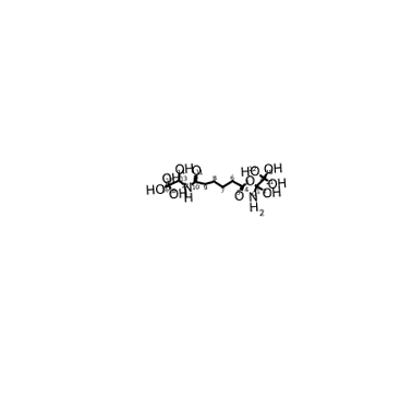 NC(O)(OC(=O)CCCCC(=O)NC(O)C(O)(O)O)C(O)(O)O